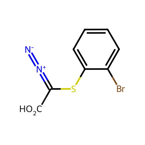 [N-]=[N+]=C(Sc1ccccc1Br)C(=O)O